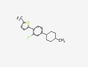 CC1CCC(c2ccc(-c3ccc(C(F)(F)F)s3)c(F)c2)CC1